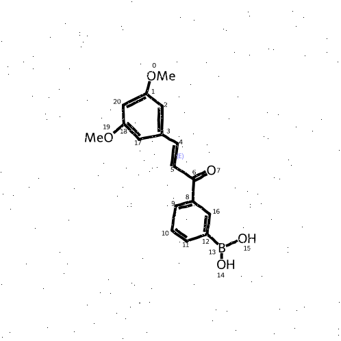 COc1cc(/C=C/C(=O)c2cccc(B(O)O)c2)cc(OC)c1